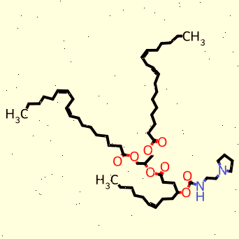 CCCCC/C=C\C/C=C\CCCCCCCC(=O)OCC(COC(=O)CCCCCCC/C=C\C/C=C\CCCCC)OC(=O)CCC(CC/C=C\CCCCC)OC(=O)NCCN1CCCC1